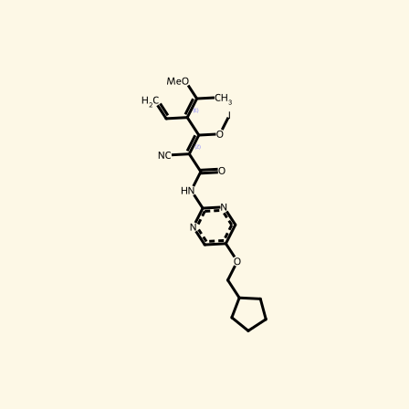 C=CC(/C(OI)=C(\C#N)C(=O)Nc1ncc(OCC2CCCC2)cn1)=C(/C)OC